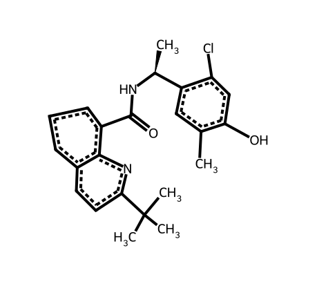 Cc1cc([C@H](C)NC(=O)c2cccc3ccc(C(C)(C)C)nc23)c(Cl)cc1O